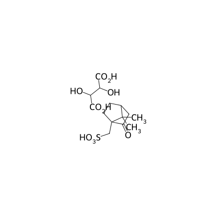 CC1(C)C2CCC1(CS(=O)(=O)O)C(=O)C2.O=C(O)C(O)C(O)C(=O)O